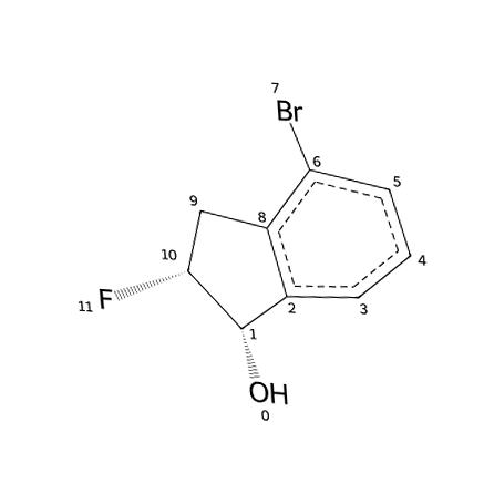 O[C@H]1c2cccc(Br)c2C[C@H]1F